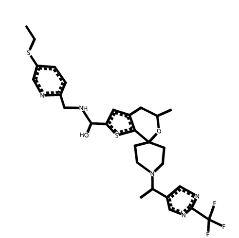 CCSc1ccc(CNC(O)c2cc3c(s2)C2(CCN(C(C)c4cnc(C(F)(F)F)nc4)CC2)OC(C)C3)nc1